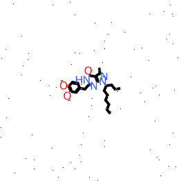 CCCCCCC(CCC)n1nc(C)c2c(=O)[nH]c(Cc3ccc(OC)c(OC)c3)nc21